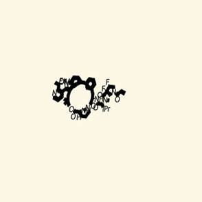 C=CC(=O)N1C[C@@H](F)[C@](F)(C(=O)N(C)C(C(=O)N[C@H]2Cc3cccc(c3)-c3ccc4c(c3)c(c(-c3cccnc3[C@H](C)OC)n4CC)CC(C)(C)COC(=O)[C@@H]3CCCN(N3)C2=O)C(C)C)C1